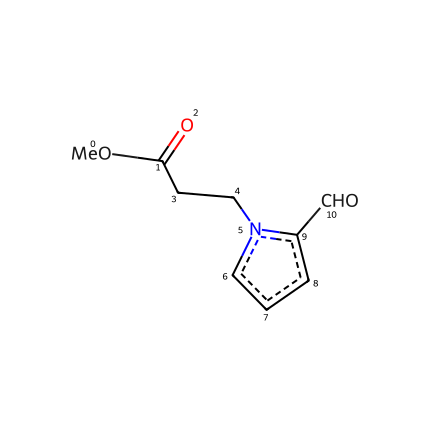 COC(=O)CCn1cccc1C=O